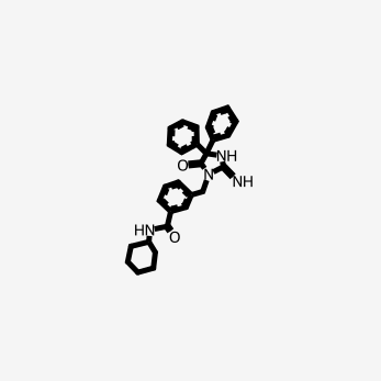 N=C1NC(c2ccccc2)(c2ccccc2)C(=O)N1Cc1cccc(C(=O)NC2CCCCC2)c1